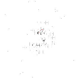 CCNC(=O)N(CCCN(C)C)C(=O)C1OC(OC2C(O)C(CO)OC(C)C2NC(C)=O)C(O)CC1OC1OC(CO)C(O)C(OC2OC(C(=O)O)C(C(C)C)C(O)C2O)C1NC(C)=O